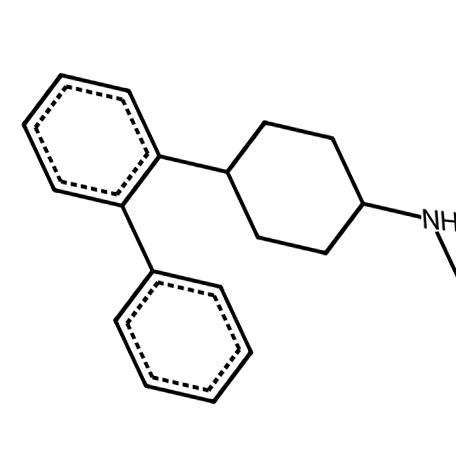 CNC1CCC(c2ccccc2-c2ccccc2)CC1